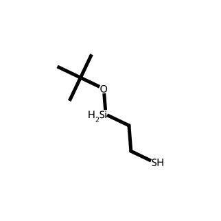 CC(C)(C)O[SiH2]CCS